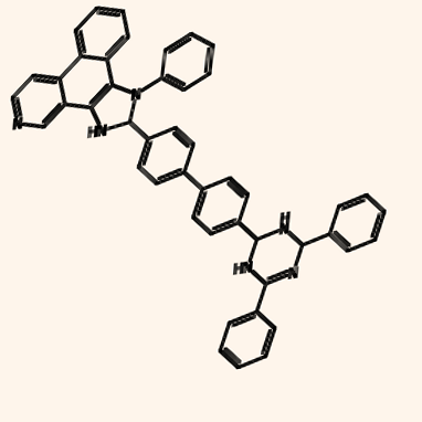 c1ccc(C2=NC(c3ccccc3)NC(c3ccc(-c4ccc(C5Nc6c(c7ccccc7c7ccncc67)N5c5ccccc5)cc4)cc3)N2)cc1